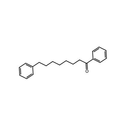 O=C(CCCCCCCc1ccccc1)c1ccccc1